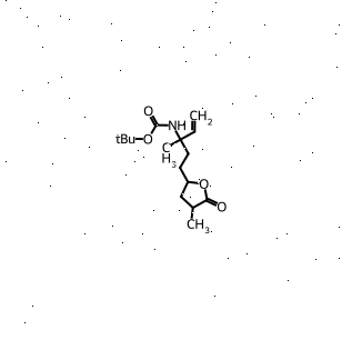 C=CC(C)(CCC1CC(C)C(=O)O1)NC(=O)OC(C)(C)C